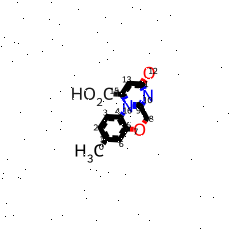 Cc1ccc2c(c1)OCc1nc(=O)cc(C(=O)O)n1-2